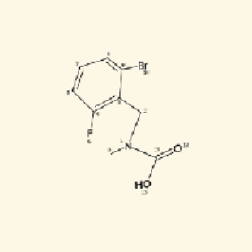 CN(Cc1c(F)cccc1Br)C(=O)O